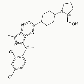 Cc1nn([C@H](C)c2ccc(Cl)cc2Cl)c2nc(C3CCC(N4CCC[C@H]4CO)CC3)cnc12